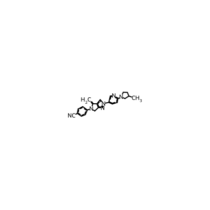 C=C1c2cn(-c3ccc(N4CCC(C)C4)nc3)nc2CN1c1ccc(C#N)cc1